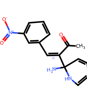 CC(=O)/C(=C\c1cccc([N+](=O)[O-])c1)C1(N)C=CC=CN1